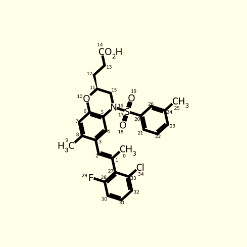 C/C(=C\c1cc2c(cc1C)O[C@@H](CCC(=O)O)CN2S(=O)(=O)c1cccc(C)c1)c1c(F)cccc1Cl